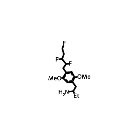 CCC(N)Cc1cc(OC)c(CC(F)C(F)CCF)cc1OC